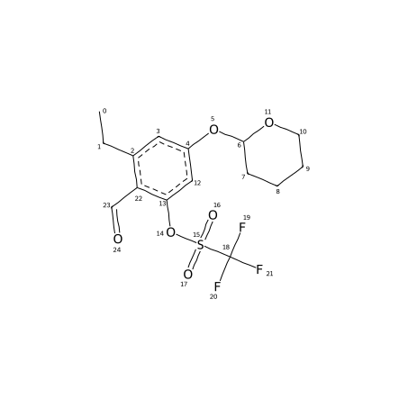 CCc1cc(OC2CCCCO2)cc(OS(=O)(=O)C(F)(F)F)c1C=O